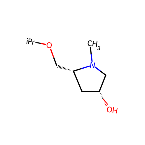 CC(C)OC[C@H]1C[C@@H](O)CN1C